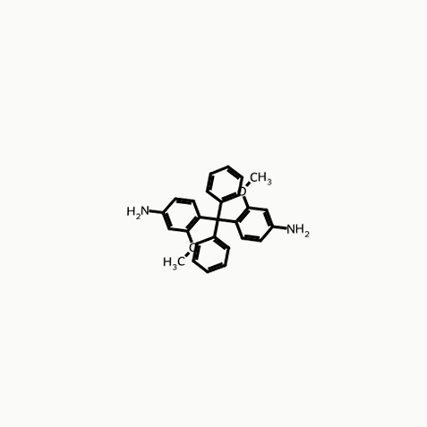 COc1cc(N)ccc1C(c1ccccc1)(c1ccccc1)c1ccc(N)cc1OC